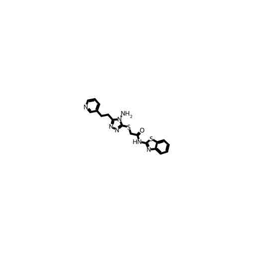 Nn1c(CCc2cccnc2)nnc1SCC(=O)Nc1nc2ccccc2s1